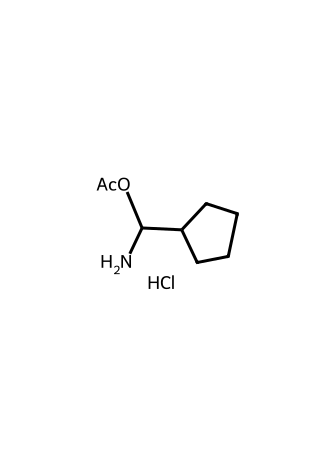 CC(=O)OC(N)C1CCCC1.Cl